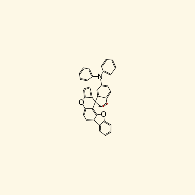 c1ccc(N(c2ccccc2)c2ccc3c(c2)C2(c4ccccc4Oc4ccc5c(oc6ccccc65)c42)c2ccccc2-3)cc1